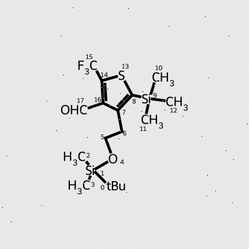 CC(C)(C)[Si](C)(C)OCCc1c([Si](C)(C)C)sc(C(F)(F)F)c1C=O